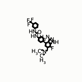 CCN(CC)Cc1cc(-c2ccc(NC(=O)Nc3cccc(C(F)(F)F)c3)cc2)c2c(N)n[nH]c2c1F